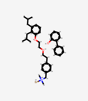 CC(C)Cc1cccc(OCCOCCc2ccc(C[N+](C)(C)Br)cc2)c1CC(C)C.[O-]c1ccccc1-c1ccccc1